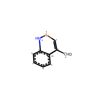 O=CC1=CSNc2ccccc21